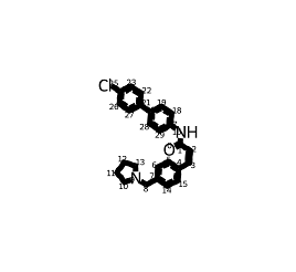 O=C(/C=C\c1ccc(CN2CCCC2)cc1)Nc1ccc(-c2ccc(Cl)cc2)cc1